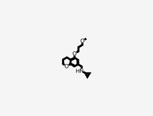 COCCCOc1cc(CNC2CC2)cc2c1CCCO2